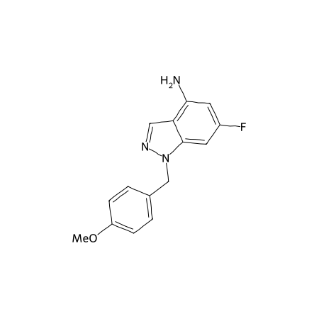 COc1ccc(Cn2ncc3c(N)cc(F)cc32)cc1